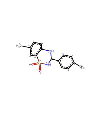 Cc1ccc(C2Nc3ccc(C)cc3S(=O)(=O)N2)cc1